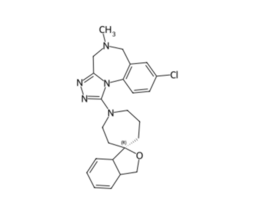 CN1Cc2cc(Cl)ccc2-n2c(nnc2N2CCC[C@]3(CC2)OCC2C=CC=CC23)C1